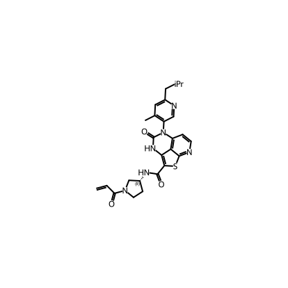 C=CC(=O)N1CC[C@@H](NC(=O)c2sc3nccc4c3c2NC(=O)N4c2cnc(CC(C)C)cc2C)C1